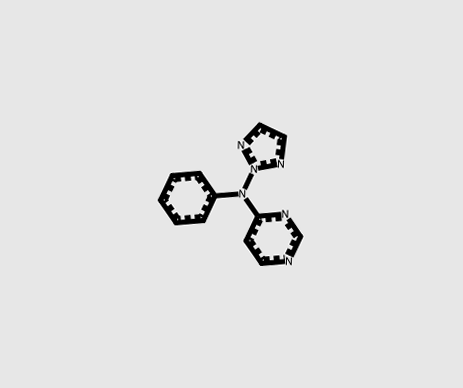 c1ccc(N(c2ccncn2)n2nccn2)cc1